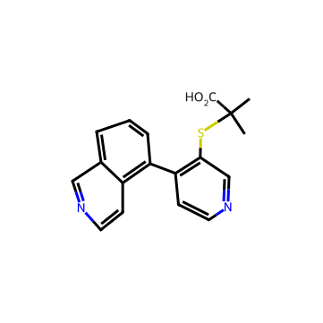 CC(C)(Sc1cnccc1-c1cccc2cnccc12)C(=O)O